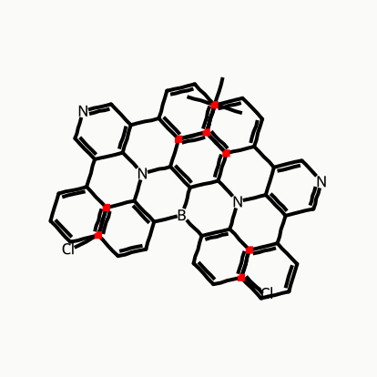 CC(C)(C)c1cc2c3c(c1)N(c1c(-c4ccccc4)cncc1-c1ccccc1)c1cc(Cl)ccc1B3c1ccc(Cl)cc1N2c1c(-c2ccccc2)cncc1-c1ccccc1